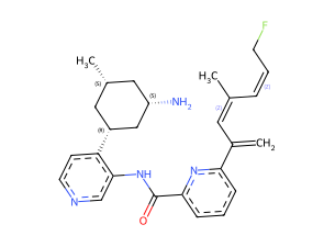 C=C(/C=C(C)\C=C/CF)c1cccc(C(=O)Nc2cnccc2[C@@H]2C[C@H](C)C[C@H](N)C2)n1